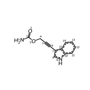 NC(=O)OCC#Cc1c[nH]c2ccccc12